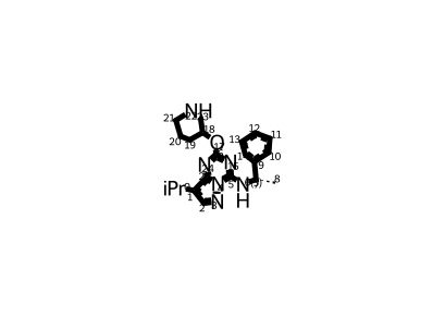 CC(C)c1cnn2c(N[C@@H](C)c3ccccc3)nc(OC3CCCNC3)nc12